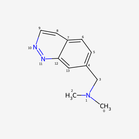 CN(C)Cc1ccc2ccnnc2c1